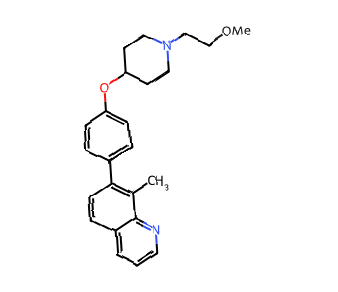 COCCN1CCC(Oc2ccc(-c3ccc4cccnc4c3C)cc2)CC1